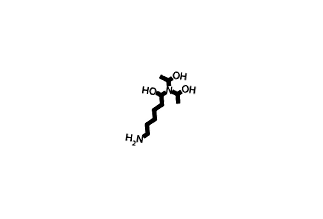 CC(O)N(C(C)O)C(O)CCCCCN